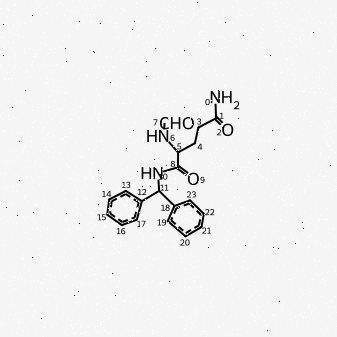 NC(=O)CCC(NC=O)C(=O)NC(c1ccccc1)c1ccccc1